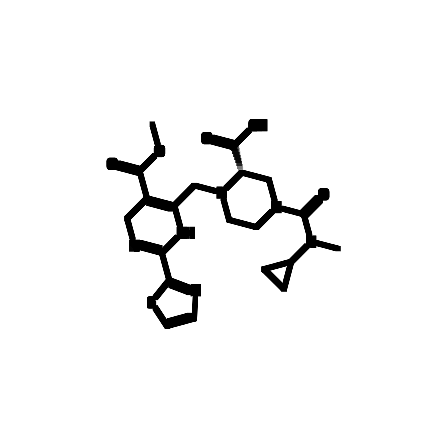 COC(=O)C1=C(CN2CCN(C(=O)N(C)C3CC3)C[C@H]2C(=O)O)NC(c2nccs2)=NC1